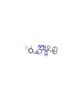 Cc1cc(CN2CCc3c(ncnc3NC(=O)CC34CC5CC(CC(C5)C3)C4)C2)ccc1F